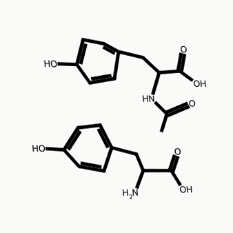 CC(=O)NC(Cc1ccc(O)cc1)C(=O)O.NC(Cc1ccc(O)cc1)C(=O)O